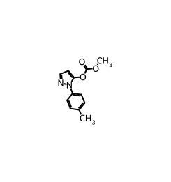 COC(=O)Oc1ccnn1-c1ccc(C)cc1